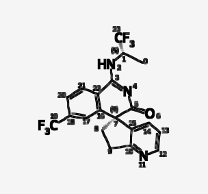 C[C@H](NC1=NC(=O)[C@]2(CCc3ncccc32)c2cc(C(F)(F)F)ccc21)C(F)(F)F